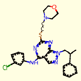 CC(Cn1ncc2c(Nc3cccc(Cl)c3)nc(SCCN3CCOCC3)nc21)c1ccccc1